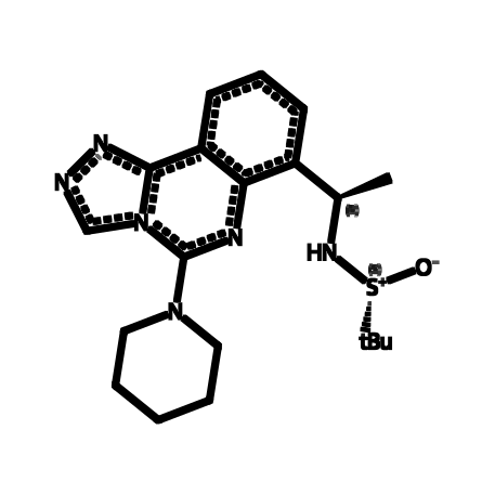 C[C@@H](N[S@+]([O-])C(C)(C)C)c1cccc2c1nc(N1CCCCC1)n1cnnc21